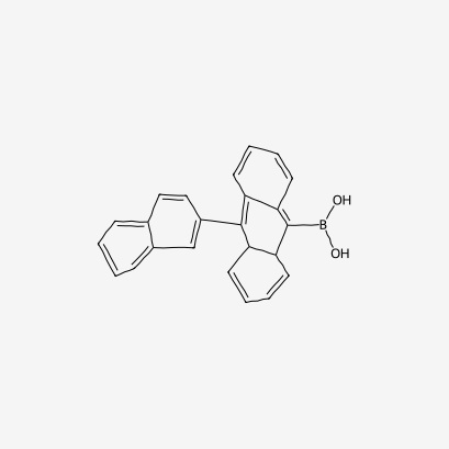 OB(O)C1=c2ccccc2=C(c2ccc3ccccc3c2)C2C=CC=CC12